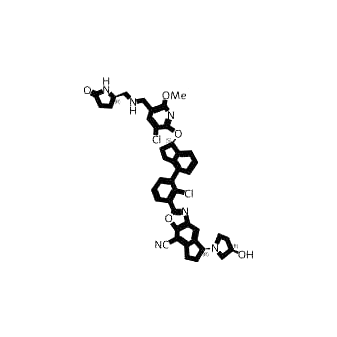 COc1nc(O[C@H]2CCc3c(-c4cccc(-c5nc6cc7c(c(C#N)c6o5)CC[C@H]7N5CC[C@@H](O)C5)c4Cl)cccc32)c(Cl)cc1CNC[C@H]1CCC(=O)N1